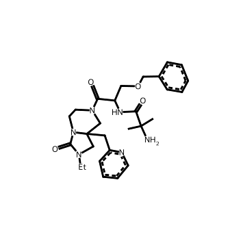 CCN1CC2(Cc3ccccn3)CN(C(=O)C(COCc3ccccc3)NC(=O)C(C)(C)N)CCN2C1=O